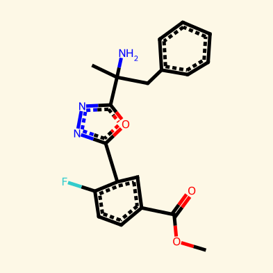 COC(=O)c1ccc(F)c(-c2nnc(C(C)(N)Cc3ccccc3)o2)c1